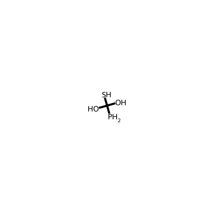 OC(O)(P)S